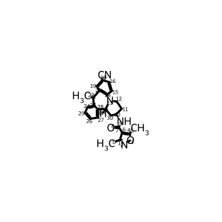 Cc1noc(C)c1C(=O)N[C@@H]1CCN2c3ccc(C#N)cc3[C@H](C)c3ccccc3[C@H]2C1